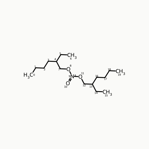 CCCCC(CC)CO[N+](=O)OCC(CC)CCCC